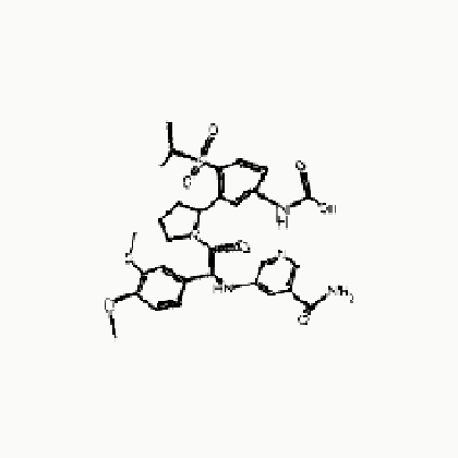 COc1ccc(C(Nc2cncc(C(N)=O)c2)C(=O)N2CCCC2c2cc(NC(=O)O)ccc2S(=O)(=O)C(C)C)cc1OC